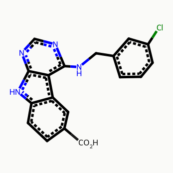 O=C(O)c1ccc2[nH]c3ncnc(NCc4cccc(Cl)c4)c3c2c1